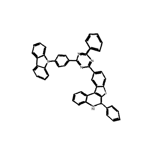 c1ccc(-c2nc(-c3ccc(-n4c5ccccc5c5ccccc54)cc3)nc(-c3ccc4sc5c(c4c3)-c3ccccc3NC5c3ccccc3)n2)cc1